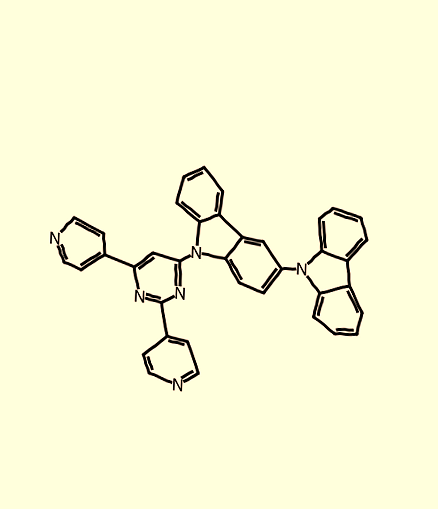 c1ccc2c(c1)c1ccccc1n2-c1ccc2c(c1)c1ccccc1n2-c1cc(-c2ccncc2)nc(-c2ccncc2)n1